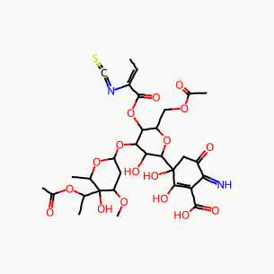 C/C=C(\N=C=S)C(=O)OC1C(COC(C)=O)OC(C2(O)CC(=O)C(=N)C(C(=O)O)=C2O)C(O)C1OC1CC(OC)C(O)(C(C)OC(C)=O)C(C)O1